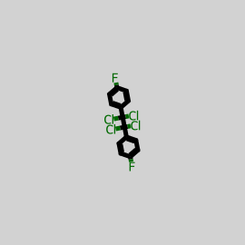 Fc1ccc(C(Cl)(Cl)C(Cl)(Cl)c2ccc(F)cc2)cc1